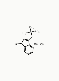 C[Si](C)(C)CC1=C[CH]([Zr])c2ccccc21.Cl.Cl